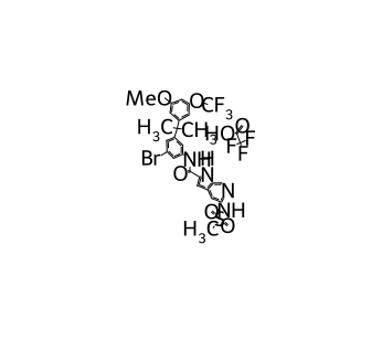 COc1cc(OC(F)(F)F)cc(C(C)(C)c2cc(Br)cc(NC(=O)c3cc4cc(NS(C)(=O)=O)ncc4[nH]3)c2)c1.O=C(O)C(F)(F)F